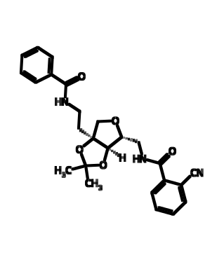 CC1(C)O[C@@H]2[C@@H](CNC(=O)c3ccccc3C#N)OC[C@]2(CCNC(=O)c2ccccc2)O1